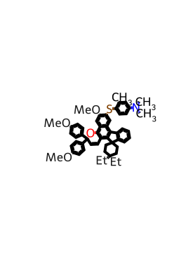 CCC1(CC)CCC2(CC1)c1ccccc1-c1c2c2c(c3cc(OC)c(Sc4ccc(N(C)C)cc4C)cc13)OC(c1ccc(OC)cc1)(c1ccc(OC)cc1)C=C2